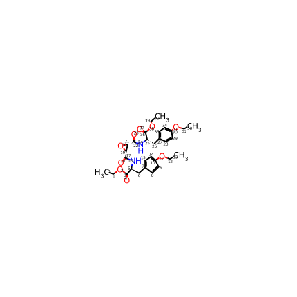 CCOC(=O)[C@H](Cc1ccc(OCC)cc1)NC(=O)[C@H]1O[C@@H]1C(=O)N[C@@H](Cc1ccc(OCC)cc1)C(=O)OCC